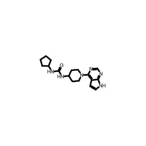 O=C(NC1CCCC1)NC1CCN(c2ncnc3[nH]ccc23)CC1